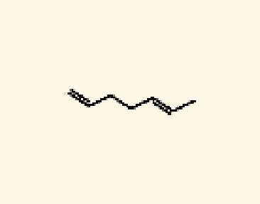 [CH]=CCC/C=C/C